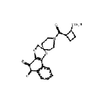 O=C1C(=O)c2ccccc2C2=C1SCC1(CCN(C(=O)C3CCC3C(=O)O)CC1)O2